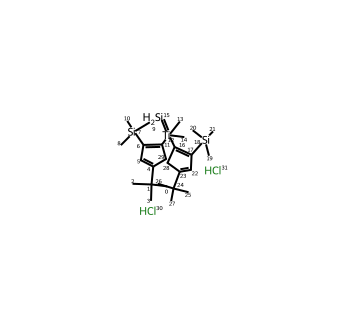 CC(C)(C)C1=CC([Si](C)(C)C)=[C]([Ti]([CH3])([CH3])(=[SiH2])[C]2=C([Si](C)(C)C)C=C(C(C)(C)C)C2)C1.Cl.Cl